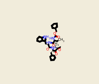 CCC(NC(=O)OCc1ccccc1)C(=O)N[C@@H](Cc1c[nH]c2ccccc12)C(=O)N[C@@H](Cc1ccccc1)C(=O)[C@@]1(C)CO1